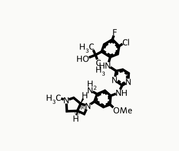 COc1cc(N2C[C@@H]3CN(C)C[C@@H]32)c(N)cc1Nc1nccc(Nc2cc(Cl)c(F)cc2C(C)(C)O)n1